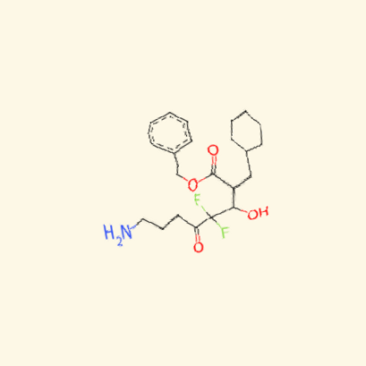 NCCCC(=O)C(F)(F)C(O)C(CC1CCCCC1)C(=O)OCc1ccccc1